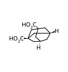 O=C(O)C12C[C@H]3C[C@@H](C1)C[C@@](C(=O)O)(C2)C3